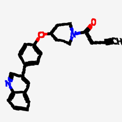 C#CCC(=O)N1CCC(Oc2ccc(-c3cnc4ccccc4c3)cc2)CC1